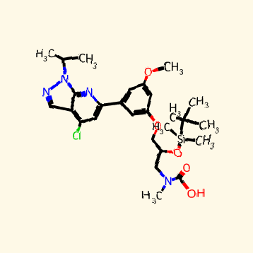 COc1cc(OCC(CN(C)C(=O)O)O[Si](C)(C)C(C)(C)C)cc(-c2cc(Cl)c3cnn(C(C)C)c3n2)c1